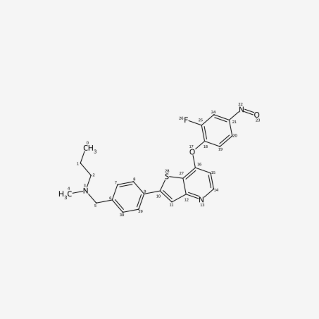 CCCN(C)Cc1ccc(-c2cc3nccc(Oc4ccc(N=O)cc4F)c3s2)cc1